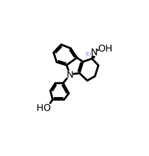 O/N=C1\CCCc2c1c1ccccc1n2-c1ccc(O)cc1